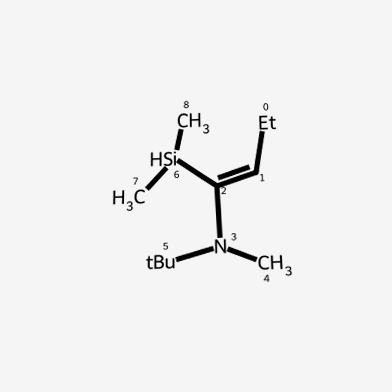 CCC=C(N(C)C(C)(C)C)[SiH](C)C